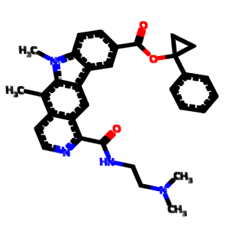 Cc1c2ccnc(C(=O)NCCN(C)C)c2cc2c3cc(C(=O)OC4(c5ccccc5)CC4)ccc3n(C)c12